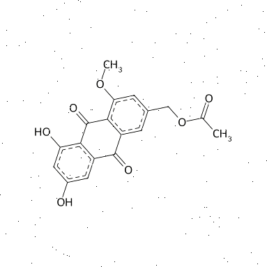 COc1cc(COC(C)=O)cc2c1C(=O)c1c(O)cc(O)cc1C2=O